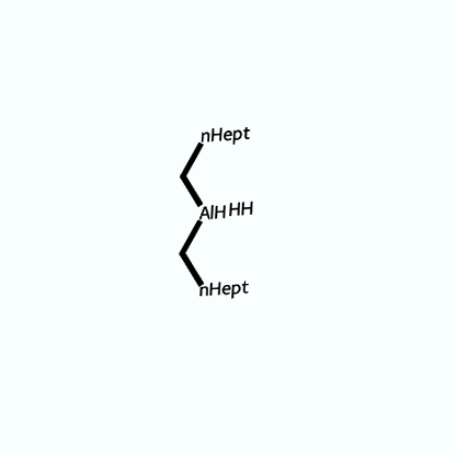 CCCCCCC[CH2][AlH][CH2]CCCCCCC.[HH]